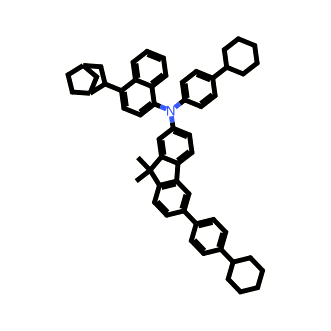 CC1(C)c2ccc(-c3ccc(C4CCCCC4)cc3)cc2-c2ccc(N(c3ccc(C4CCCCC4)cc3)c3ccc(C4CC5CCC4C5)c4ccccc34)cc21